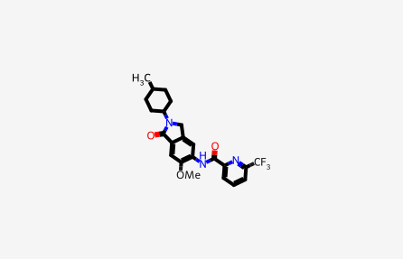 COc1cc2c(cc1NC(=O)c1cccc(C(F)(F)F)n1)CN(C1CCC(C)CC1)C2=O